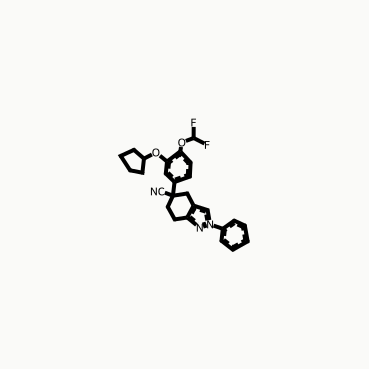 N#CC1(c2ccc(OC(F)F)c(OC3CCCC3)c2)CCc2nn(-c3ccccc3)cc2C1